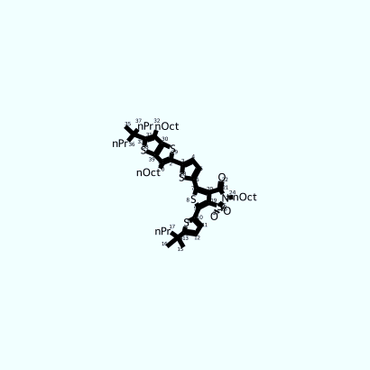 CCCCCCCCc1c(-c2ccc(-c3sc(-c4ccc(C(C)(C)CCC)s4)c4c3C(=O)N(CCCCCCCC)S4(=O)=O)s2)sc2c(CCCCCCCC)c(C(C)(CCC)CCC)sc12